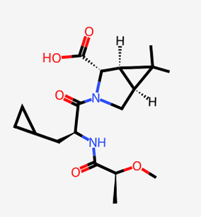 CO[C@@H](C)C(=O)N[C@@H](CC1CC1)C(=O)N1C[C@H]2[C@@H]([C@H]1C(=O)O)C2(C)C